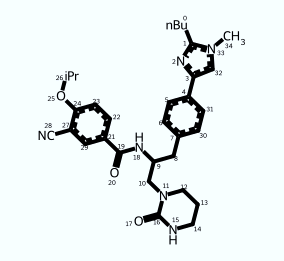 CCCCc1nc(-c2ccc(CC(CN3CCCNC3=O)NC(=O)c3ccc(OC(C)C)c(C#N)c3)cc2)cn1C